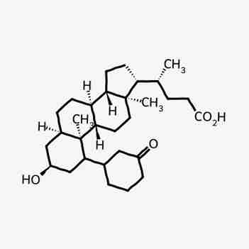 C[C@H](CCC(=O)O)[C@H]1CC[C@H]2[C@@H]3CC[C@@H]4C[C@H](O)CC(C5CCCC(=O)C5)[C@]4(C)[C@H]3CC[C@]12C